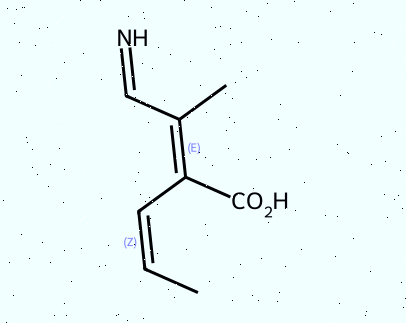 C/C=C\C(C(=O)O)=C(\C)C=N